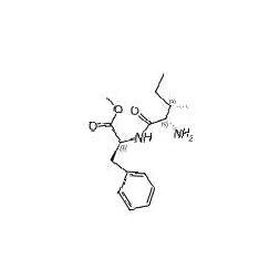 CC[C@H](C)[C@H](N)C(=O)N[C@@H](Cc1ccccc1)C(=O)OC